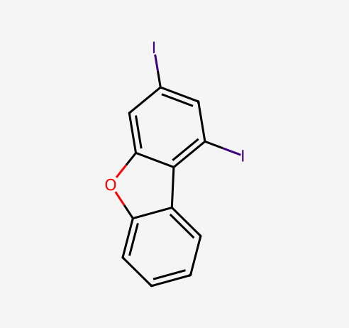 Ic1cc(I)c2c(c1)oc1ccccc12